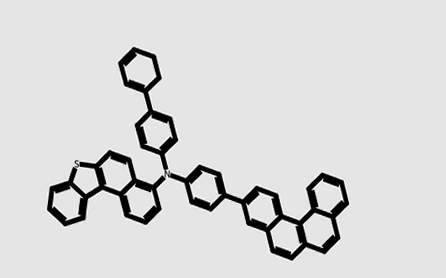 C1=CCCC(c2ccc(N(c3ccc(-c4ccc5c(ccc6ccc7ccccc7c65)c4)cc3)c3cccc4c3ccc3sc5ccccc5c34)cc2)=C1